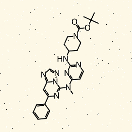 CN(c1ccnc(NC2CCN(C(=O)OC(C)(C)C)CC2)n1)c1nc(-c2ccccc2)cc2ncnn12